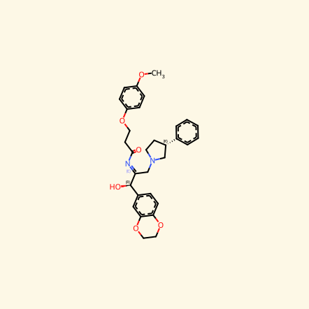 COc1ccc(OCCC(=O)/N=C(\CN2CC[C@H](c3ccccc3)C2)[C@H](O)c2ccc3c(c2)OCCO3)cc1